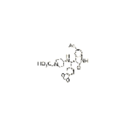 CC(=O)c1ccc2c(c1)C(=C(NC1CCN(CC(=O)O)CC1)c1ccc3c(c1)OCO3)C(=O)N2